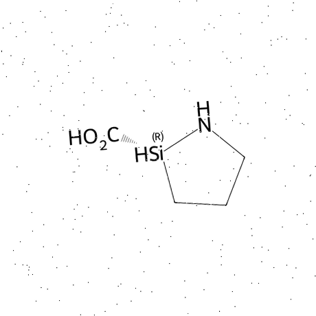 O=C(O)[Si@H]1CCCN1